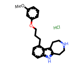 COc1cccc(OCCCc2cccc3[nH]c4c(c23)CCNCC4)c1.Cl